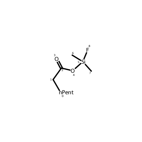 CCCCCCC(=O)O[Si](C)(C)F